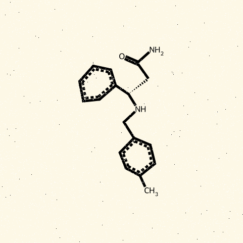 Cc1ccc(CN[C@@H](CC(N)=O)c2ccccc2)cc1